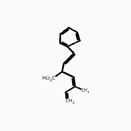 C=CC(C)=CC(C=Cc1ccccc1)C(=O)O